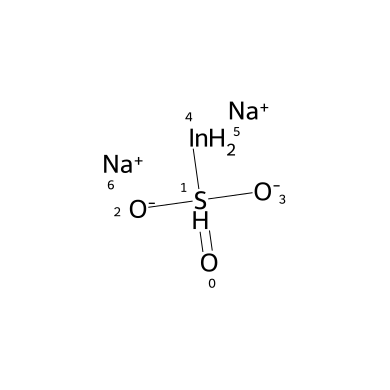 O=[SH]([O-])([O-])[InH2].[Na+].[Na+]